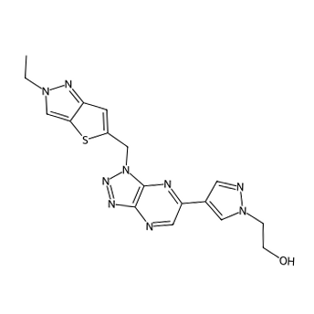 CCn1cc2sc(Cn3nnc4ncc(-c5cnn(CCO)c5)nc43)cc2n1